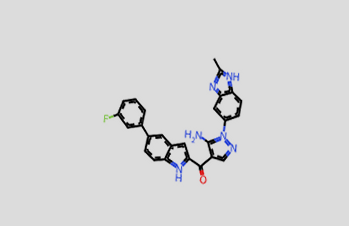 Cc1nc2cc(-n3ncc(C(=O)c4cc5cc(-c6cccc(F)c6)ccc5[nH]4)c3N)ccc2[nH]1